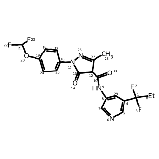 CCC(F)(F)c1cncc(NC(=O)C2C(=O)N(c3ccc(OC(F)F)cc3)N=C2C)c1